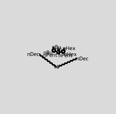 CCCCCCCCCCCCCCCCCCCCCCC[CH2][Ni][CH2]CCCCCCCCCCCCCCCCCCCCCCC.CCCCCCc1cc(CCCCCC)cc(C2=C(CCCCC)C(CCCCC)=C(c3cc(CCCC)cc(CCCC)c3)[N+]2=[N-])c1